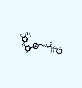 Cc1ccc(Oc2cc(F)cc(C34CCC(CCOCC(=O)NOC5CCCCO5)(CC3)CO4)c2)cc1F